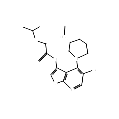 CN[C@@H]1CCCN(c2c(Br)cnc3[nH]cc(NC(=O)COC(C)C)c23)C1